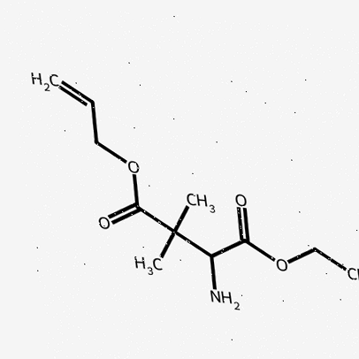 C=CCOC(=O)C(C)(C)C(N)C(=O)OCC